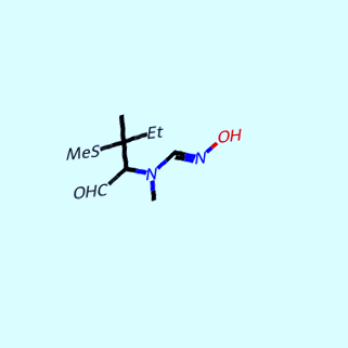 CCC(C)(SC)C(C=O)N(C)C=NO